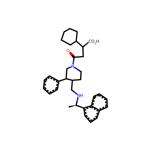 C[C@@H](NCC1CCN(C(=O)CC(C(=O)O)C2CCCCC2)CC1c1ccccc1)c1cccc2ccccc12